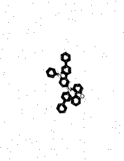 C1=CC(c2ccc(N(C3=CC4c5ccc(-c6ccccc6)cc5N(c5ccccc5)C4CC3)c3cccc4oc5c(c34)C=CCC5)cc2)=CCC1